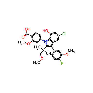 COCC(C)(C)c1c(-c2ccc(F)c(OC)c2)c2cc(Cl)cc(O)c2n1-c1ccc(C(=O)O)c(OC)c1